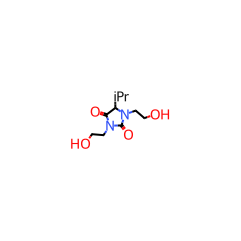 CC(C)C1C(=O)N(CCO)C(=O)N1CCO